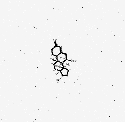 CCC[C@@H]1CC2=CC(=O)CC[C@@H]2[C@H]2CC[C@]3(C)[C@@H](O)CC[C@H]3[C@H]12